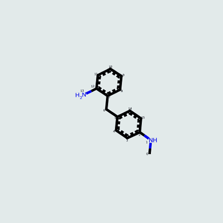 CNc1ccc(Cc2ccccc2N)cc1